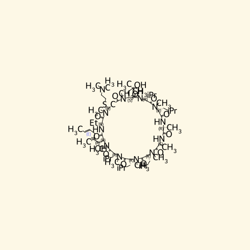 C/C=C/C[C@@H](C)[C@@H](O)[C@@H]1C(=O)N[C@H](CC)C(=O)N(C)[C@H](SCCN(C)C)CC(=O)N(C)[C@@H](CC(C)(C)O)C(=O)N[C@H](C(C)C)C(=O)N(C)[C@H](CC(C)C)C(=O)N[C@H](C)C(=O)N[C@@H](C)C(=O)N(C)[C@H](CC(C)C)C(=O)N(C)[C@H](CC(C)C)C(=O)N(C)[C@H](C(C)C)C(=O)N1C